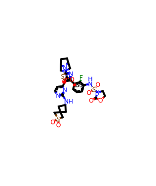 CC(C)(C)OC(=O)N1CC2CCC(C1)N2c1nc(-c2cccc(NS(=O)(=O)N3CCOC3=O)c2F)c(-c2ccnc(NC3CC4(C3)CS(=O)(=O)C4)n2)s1